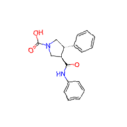 O=C(Nc1ccccc1)[C@H]1CN(C(=O)O)C[C@@H]1c1ccccc1